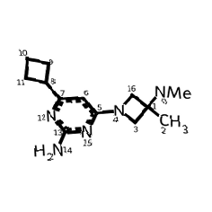 CNC1(C)CN(c2cc(C3CCC3)nc(N)n2)C1